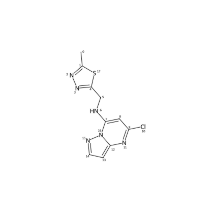 Cc1nnc(CNc2cc(Cl)nc3ccnn23)s1